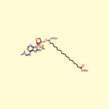 CCCCCCN(CCCCCCCCCCCCCCCC(=O)OC)OC[C@]12COC(C1O[Si](C)(C)C(C)(C)C)[C@H](n1cnc3c(/N=C\N(C)C)ncnc31)O2